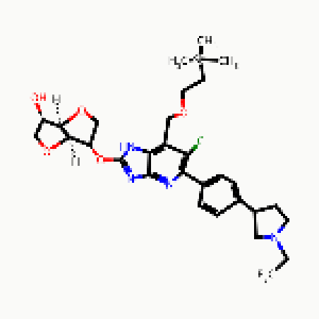 C[Si](C)(C)CCOCc1c(Cl)c(-c2ccc(C3CCN(CC(F)(F)F)C3)cc2)nc2nc(O[C@@H]3CO[C@H]4[C@@H]3OC[C@H]4O)[nH]c12